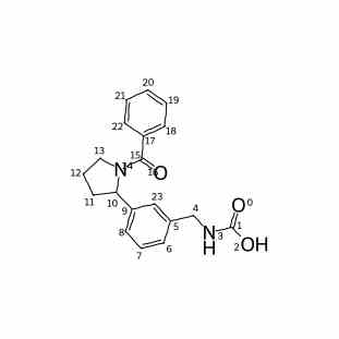 O=C(O)NCc1cccc(C2CCCN2C(=O)c2ccccc2)c1